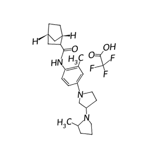 Cc1cc(N2CCC(N3CCCC3C)C2)ccc1NC(=O)C1C[C@@H]2CC[C@H]1C2.O=C(O)C(F)(F)F